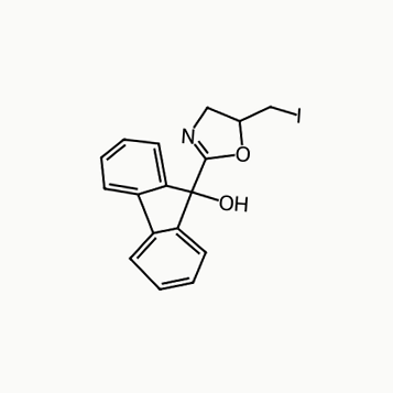 OC1(C2=NCC(CI)O2)c2ccccc2-c2ccccc21